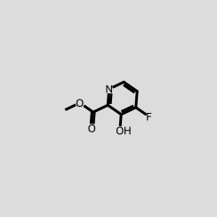 COC(=O)c1nccc(F)c1O